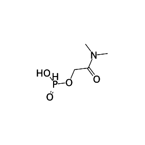 CN(C)C(=O)CO[PH](=O)O